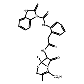 CC1=C(C(=O)O)N2C(=O)C(NC(=O)Cc3ccccc3NC(=O)n3c(=O)[nH]c4ccccc43)[C@H]2SC1